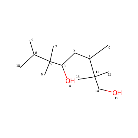 CC(CC(O)C(C)(C)C(C)C)C(C)(C)CO